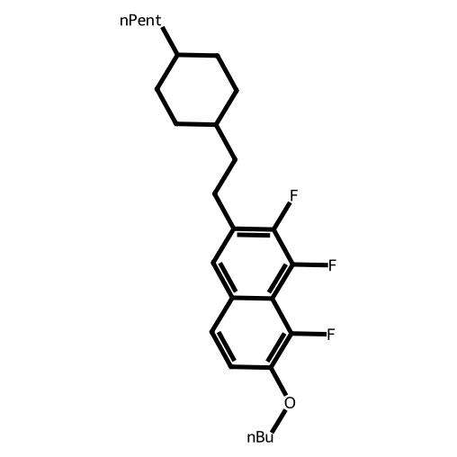 CCCCCC1CCC(CCc2cc3ccc(OCCCC)c(F)c3c(F)c2F)CC1